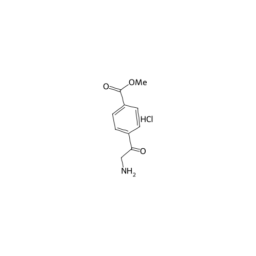 COC(=O)c1ccc(C(=O)CN)cc1.Cl